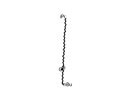 CCCC/C=C\CCCCCCCC(=O)OCCCCCCCCCCCCCCCCCCCCCCCCCCCCCCC(C)C